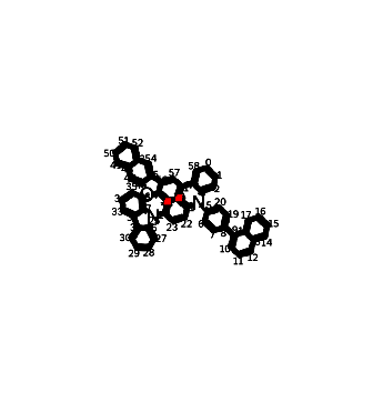 c1ccc(N(c2ccc(-c3cccc4ccccc34)cc2)c2ccc(-n3c4ccccc4c4ccccc43)cc2)c(-c2ccc3oc4cc5ccccc5cc4c3c2)c1